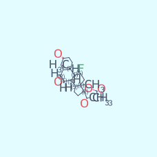 CC(=O)O[C@]1(C(C)=O)CC[C@H]2[C@@H]3[C@@H]4O[C@@H]4C4=CC(=O)CC[C@]4(C)[C@H]3[C@@H](F)C[C@@]21C